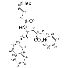 CCCCCC/C=C/CC(=O)N[C@H](CSc1ccc2ccccc2c1)CC(Cc1ccccc1)C(=O)O